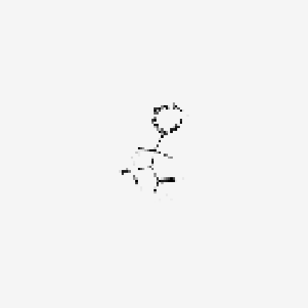 COC(=O)C(C(C)(C)c1cccnc1)P(=O)(O)O